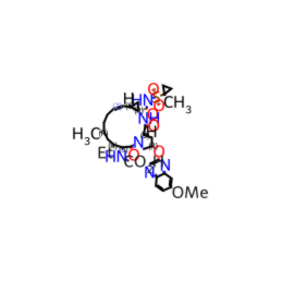 CC[C@@H]1C[C@H](C)CC/C=C\[C@@H]2C[C@@]2(C(=O)NS(=O)(=O)C2(C)CC2)NC(=O)[C@@H]2C[C@@H](Oc3cnc4ccc(OC)cc4n3)CN2C(=O)[C@H]1NC(=O)O